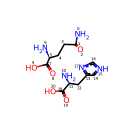 NC(=O)CC[C@H](N)C(=O)O.N[C@@H](Cc1c[nH]cn1)C(=O)O